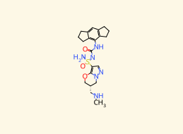 CNC[C@@H]1COc2c([S@](N)(=O)=NC(=O)Nc3c4c(cc5c3CCC5)CCC4)cnn2C1